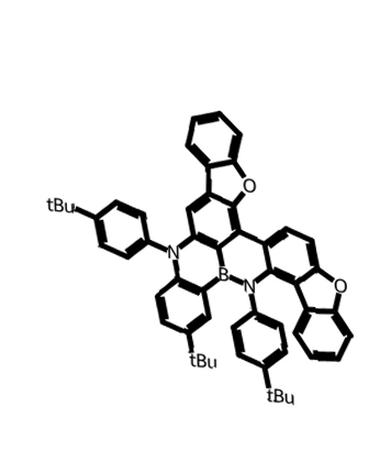 CC(C)(C)c1ccc(N2B3c4cc(C(C)(C)C)ccc4N(c4ccc(C(C)(C)C)cc4)c4cc5c(oc6ccccc65)c(c43)-c3ccc4oc5ccccc5c4c32)cc1